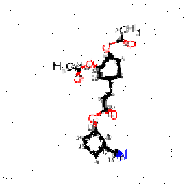 CC(=O)Oc1ccc(/C=C/C(=O)Oc2cccc(C#N)c2)cc1OC(C)=O